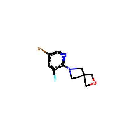 Fc1cc(Br)cnc1N1CC2(COC2)C1